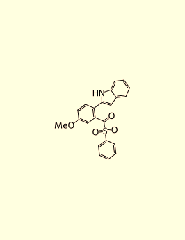 COc1ccc(-c2cc3ccccc3[nH]2)c(C(=O)S(=O)(=O)c2ccccc2)c1